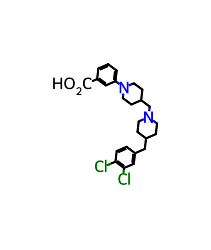 O=C(O)c1cccc(N2CCC(CN3CCC(Cc4ccc(Cl)c(Cl)c4)CC3)CC2)c1